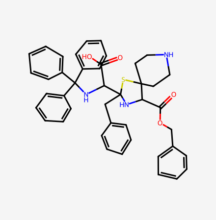 O=C(OCc1ccccc1)C1NC(Cc2ccccc2)(C(NC(c2ccccc2)(c2ccccc2)c2ccccc2)C(=O)O)SC12CCNCC2